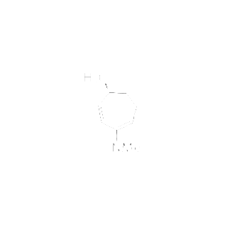 CNC1=CCC[C@H](C)C=C1